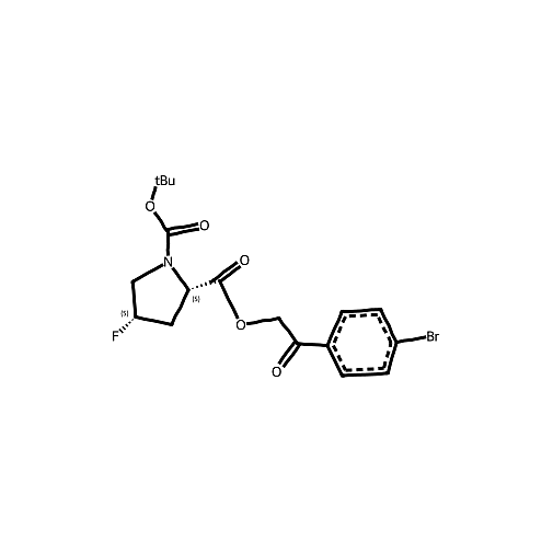 CC(C)(C)OC(=O)N1C[C@@H](F)C[C@H]1C(=O)OCC(=O)c1ccc(Br)cc1